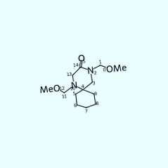 COCN1CC2(CCCCC2)N(COC)CC1=O